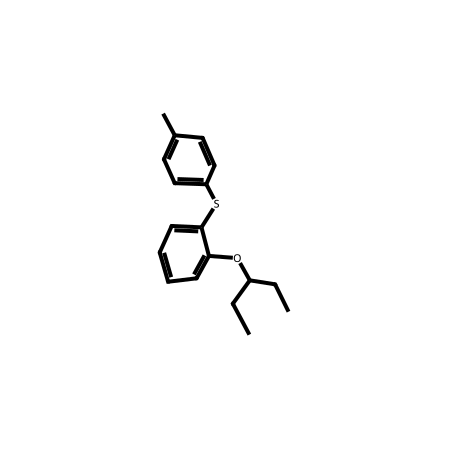 CCC(CC)Oc1ccccc1Sc1ccc(C)cc1